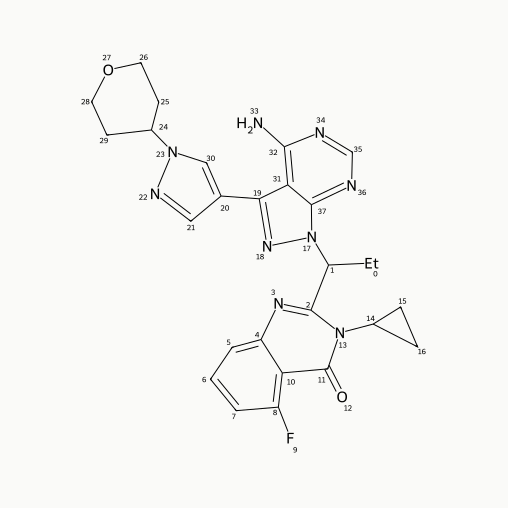 CCC(c1nc2cccc(F)c2c(=O)n1C1CC1)n1nc(-c2cnn(C3CCOCC3)c2)c2c(N)ncnc21